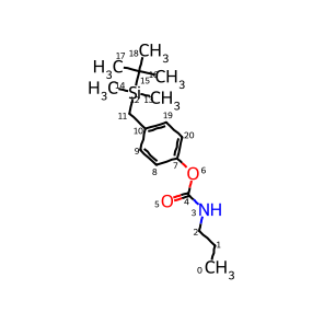 CCCNC(=O)Oc1ccc(C[Si](C)(C)C(C)(C)C)cc1